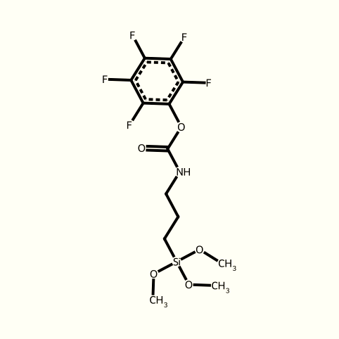 CO[Si](CCCNC(=O)Oc1c(F)c(F)c(F)c(F)c1F)(OC)OC